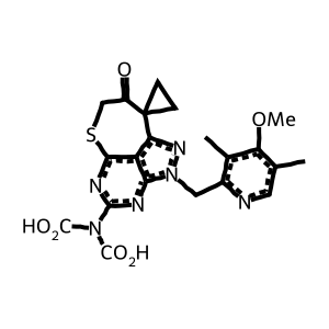 COc1c(C)cnc(Cn2nc3c4c(nc(N(C(=O)O)C(=O)O)nc42)SCC(=O)C32CC2)c1C